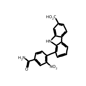 NC(=O)c1ccc(-c2cccc3c2[nH]c2cc(C(=O)O)ccc23)c([N+](=O)[O-])c1